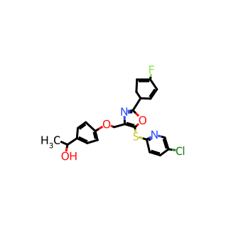 CC(O)c1ccc(OCc2nc(C3C=CC(F)=CC3)oc2Sc2ccc(Cl)cn2)cc1